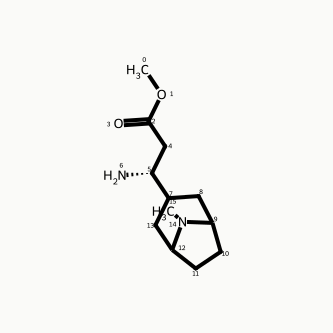 COC(=O)C[C@@H](N)C1CC2CCC(C1)N2C